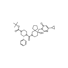 CC(C)(C)OC(=O)N1CCN(C(=O)N2CC[C@@](O)(Cn3cnc(C4CC4)cc3=O)C3(CCCC3)C2)[C@H](c2ccccc2)C1